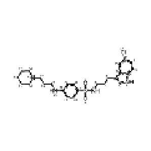 O=S(=O)(NCCCc1c[nH]c2ccc(Cl)cc12)c1ccc(NCCCN2CCCCC2)cc1